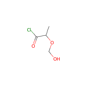 CC(OCO)C(=O)Cl